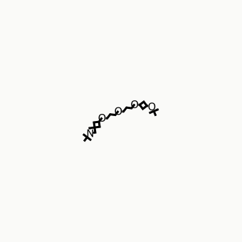 CC(C)(C)OC1CC(OCCCOCCCOC2CC3(C2)CN(C(C)(C)C)C3)C1